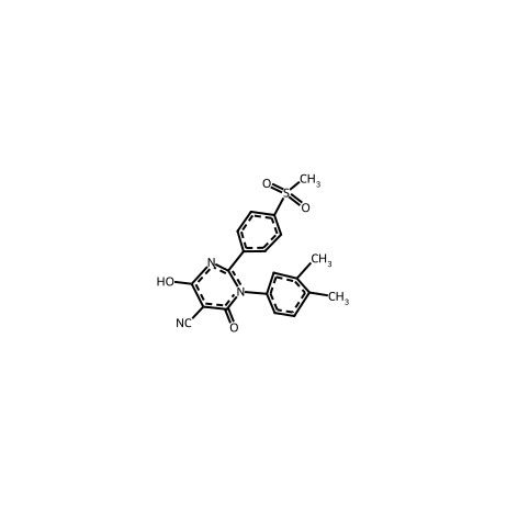 Cc1ccc(-n2c(-c3ccc(S(C)(=O)=O)cc3)nc(O)c(C#N)c2=O)cc1C